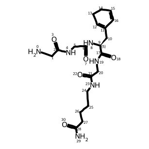 NCC(=O)NCC(=O)N[C@@H](CC1=CCCC=C1)C(=O)NCC(=O)NCCCCC(N)=O